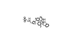 CS(=O)(=O)CCNCc1coc(-c2cc3c(cn2)N=CNC3(N)c2cccc(F)c2OCc2ccccc2)c1